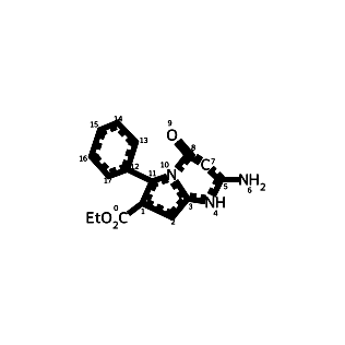 CCOC(=O)c1cc2[nH]c(N)cc(=O)n2c1-c1ccccc1